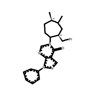 CC(C)C[C@@H]1CC(C)[C@H](C)CCC1n1cnc2c(cnn2-c2ccccc2)c1=O